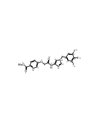 COC(=O)c1ccc(OCC(=O)Nc2cn(Cc3cc(F)c(F)c(F)c3)cn2)cn1